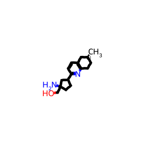 C[C@H]1CCc2nc(C3CCC(N)(CO)C3)ccc2C1